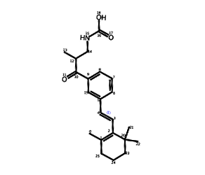 CC1=C(/C=C/c2cccc(C(=O)C(C)CNC(=O)O)c2)C(C)(C)CCC1